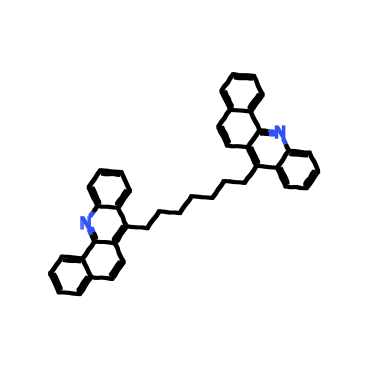 c1ccc2c(c1)ccc1c(CCCCCCCc3c4ccccc4nc4c3ccc3ccccc34)c3ccccc3nc12